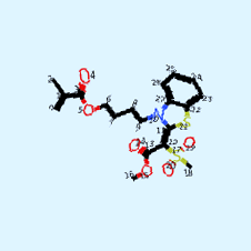 C=C(C)C(=O)OCCCCN1/C(=C(\C(=O)OC)S(C)(=O)=O)Sc2ccccc21